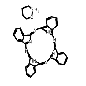 C1CC[SiH2]OC1.c1ccc2c(c1)-c1nc-2nc2[nH]c(nc3nc(nc4[nH]c(n1)c1ccccc41)-c1ccccc1-3)c1ccccc21